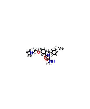 COc1cccc(-c2cc3ccc(OC[C@@H](C)CN4CCCC4)cc3c(=O)n2CC(=O)NC(C)C)c1